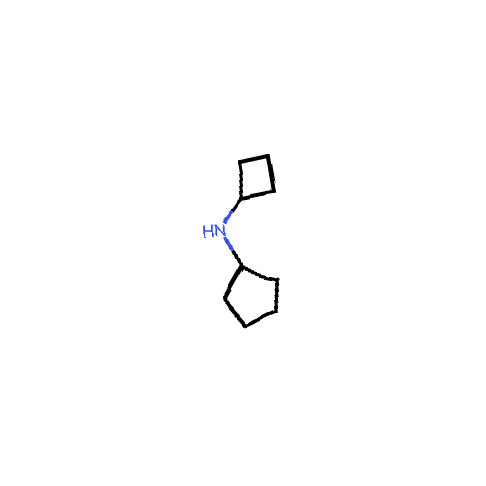 C1CCC(NC2CCC2)C1